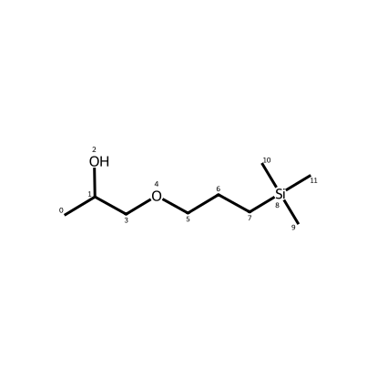 CC(O)COCCC[Si](C)(C)C